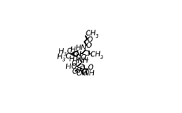 CCC(=O)CC(=O)N[C@@H](CC(C)C)C(=O)N1C[C@H]2[C@@H]([C@H]1C(=O)N[C@@H](C[C@@H]1CCNC1=O)C(O)S(=O)(=O)O)C2(C)C